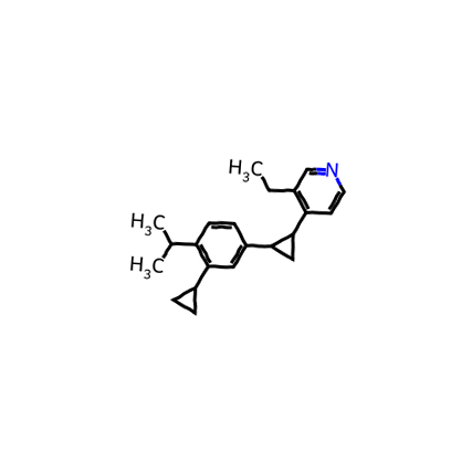 CCc1cnccc1C1CC1c1ccc(C(C)C)c(C2CC2)c1